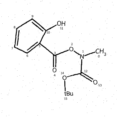 CN(OC(=O)c1ccccc1O)C(=O)OC(C)(C)C